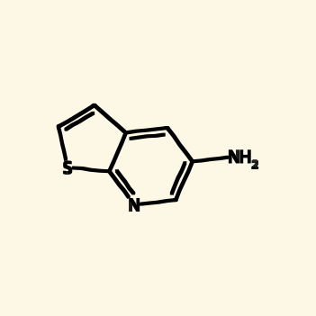 Nc1cnc2sccc2c1